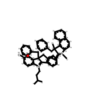 CC(C)CC[N+]1=C(/C=C/C=C2/N(C)c3ccc4ccccc4c3C2(C)Cc2ccccc2)C(Cc2ccccc2)(Cc2ccccc2)c2cc(Cl)ccc21